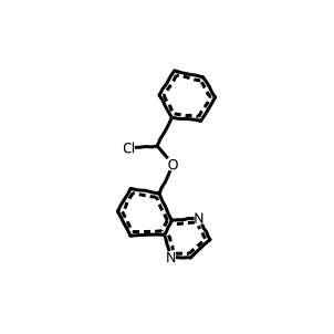 ClC(Oc1cccc2nccnc12)c1ccccc1